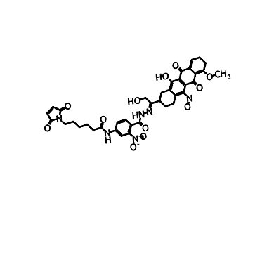 COC1=C2C(=O)c3c(N=O)c4c(c(O)c3C(=O)C2=CCC1)CC(/C(CO)=N/NC(=O)c1ccc(NC(=O)CCCCCN2C(=O)C=CC2=O)cc1[N+](=O)[O-])CC4